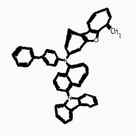 C=C1C=CC=Cc2c1oc1cc(N(c3ccc(-c4ccccc4)cc3)c3cccc4c(-n5c6ccccc6c6ccccc65)cccc34)ccc21